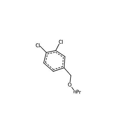 CCCOCc1ccc(Cl)c(Cl)c1